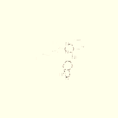 CCCCCC(C)c1nc2c(c(Nc3ccc4[nH]ncc4c3)n1)COCC2